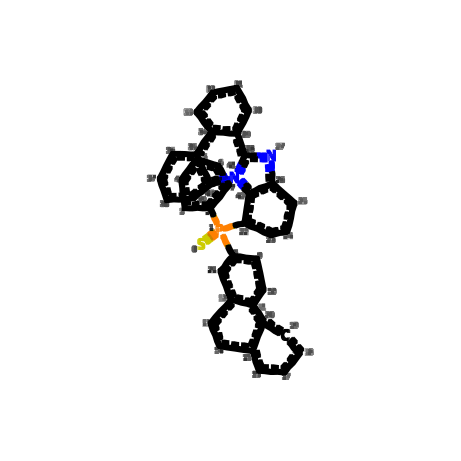 S=P(c1ccccc1)(c1ccc2c(ccc3ccccc32)c1)c1cccc2nc3c4ccccc4c4ccccc4n3c12